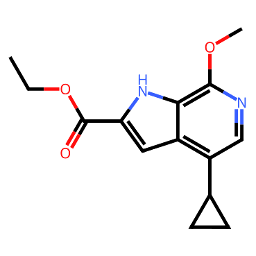 CCOC(=O)c1cc2c(C3CC3)cnc(OC)c2[nH]1